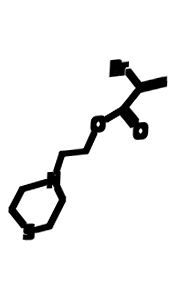 C=C(Br)C(=O)OCCN1CCSCC1